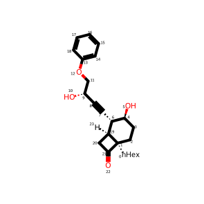 CCCCCC[C@@]12CC[C@H](O)[C@@H](C#C[C@H](O)COc3ccccc3)[C@@H]1CC2=O